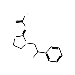 CC(=O)N=C1SCCN1CC(Cl)c1ccccc1